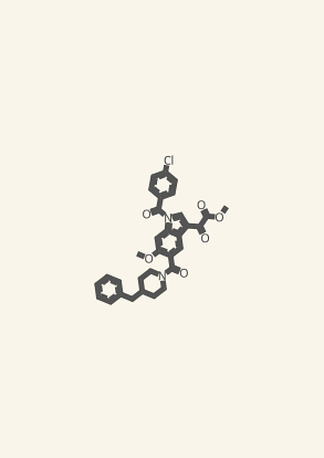 COC(=O)C(=O)c1cn(C(=O)c2ccc(Cl)cc2)c2cc(OC)c(C(=O)N3CCC(Cc4ccccc4)CC3)cc12